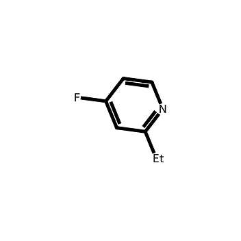 CCc1cc(F)ccn1